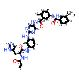 C=CC(=O)N[C@@H](Cc1cnc[nH]1)C(=O)Nc1cccc(Nc2ncc(NC(=O)c3cc(NC(=O)c4cccc(C(F)(F)F)c4)ccc3C)cn2)c1